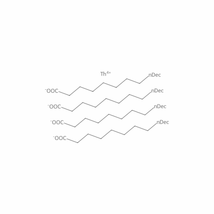 CCCCCCCCCCCCCCCCCC(=O)[O-].CCCCCCCCCCCCCCCCCC(=O)[O-].CCCCCCCCCCCCCCCCCC(=O)[O-].CCCCCCCCCCCCCCCCCC(=O)[O-].[Th+4]